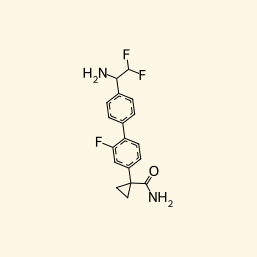 NC(=O)C1(c2ccc(-c3ccc(C(N)C(F)F)cc3)c(F)c2)CC1